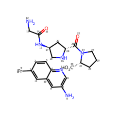 CC(C)c1ccc2ncc(N)cc2c1.NCC(=O)N[C@@H]1CN[C@@H](C(=O)N2CCC[C@@H]2C(=O)O)C1